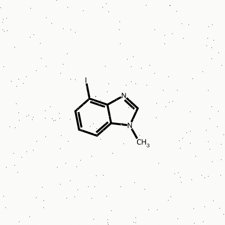 Cn1cnc2c(I)cccc21